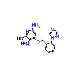 Nc1cc(OCc2ccccc2-n2cncn2)c2nn[nH]c2n1